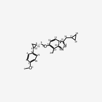 COc1ccc([C@H]2C[C@@H]2COc2ccn3c(CC4CC4)nnc3c2C)cc1